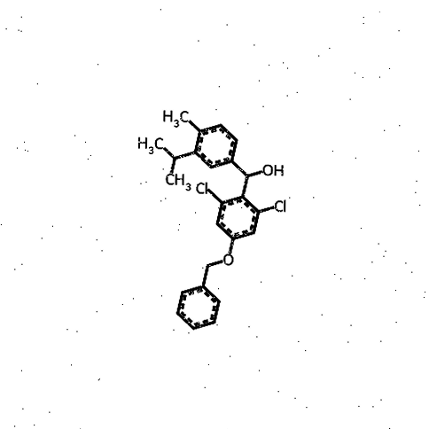 Cc1ccc(C(O)c2c(Cl)cc(OCc3ccccc3)cc2Cl)cc1C(C)C